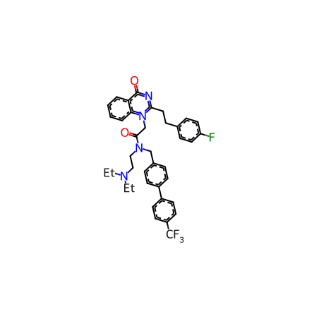 CCN(CC)CCN(Cc1ccc(-c2ccc(C(F)(F)F)cc2)cc1)C(=O)Cn1c(CCc2ccc(F)cc2)nc(=O)c2ccccc21